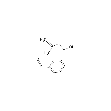 C=C(C)CCO.O=Cc1ccccc1